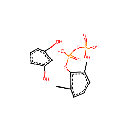 Cc1cccc(C)c1OP(=O)(O)OP(=O)(O)O.Oc1cccc(O)c1